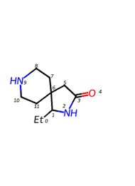 CCC1NC(=O)CC12CCNCC2